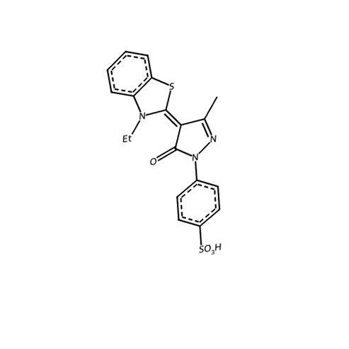 CCN1/C(=C2\C(=O)N(c3ccc(S(=O)(=O)O)cc3)N=C2C)Sc2ccccc21